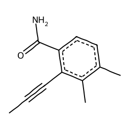 CC#Cc1c(C(N)=O)ccc(C)c1C